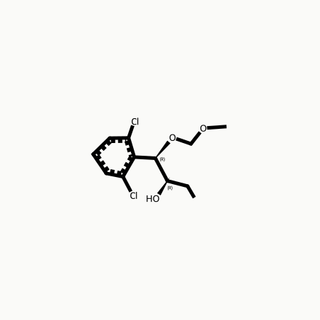 CC[C@@H](O)[C@H](OCOC)c1c(Cl)cccc1Cl